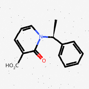 C[C@@H](c1ccccc1)n1cccc(C(=O)O)c1=O